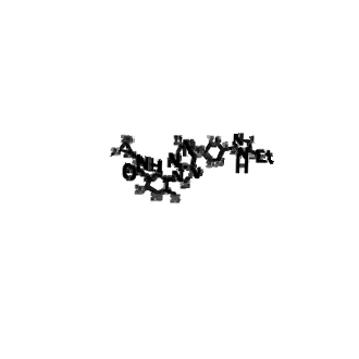 CCc1cnc(-c2ccc(-c3ncnc4c3ncn4-c3cc(C(=O)NC4CC4)ccc3C)cc2)[nH]1